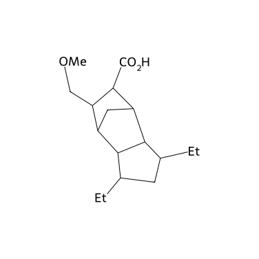 CCC1CC(CC)C2C3CC(C(COC)C3C(=O)O)C12